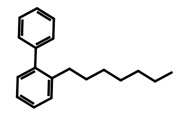 CCCCCCCc1ccccc1-c1ccccc1